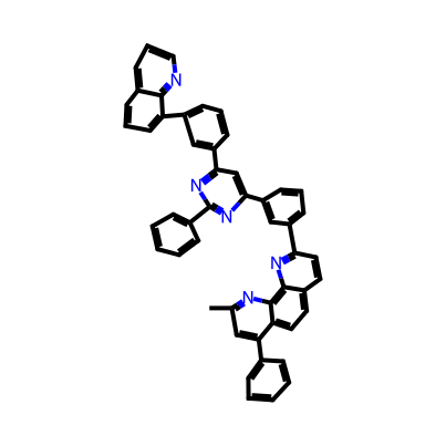 Cc1cc(-c2ccccc2)c2ccc3ccc(-c4cccc(-c5cc(-c6cccc(-c7cccc8cccnc78)c6)nc(-c6ccccc6)n5)c4)nc3c2n1